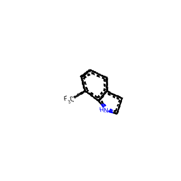 FC(F)(F)c1c[c]cc2cc[nH]c12